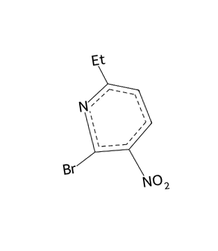 CCc1ccc([N+](=O)[O-])c(Br)n1